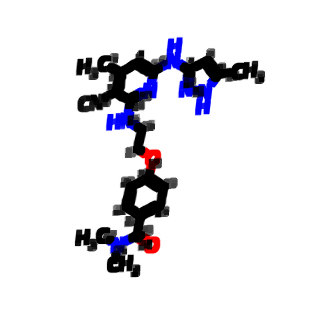 [C-]#[N+]c1c(C)cc(Nc2cc(C)[nH]n2)nc1NCCOc1ccc(C(=O)N(C)C)cc1